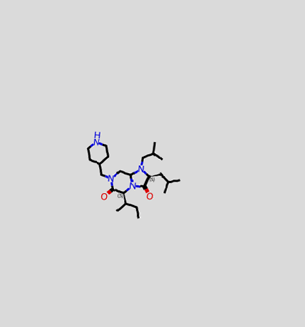 CCC(C)[C@H]1C(=O)N(CC2CCNCC2)CC2N(CC(C)C)[C@@H](CC(C)C)C(=O)N21